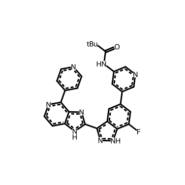 CC(C)(C)C(=O)Nc1cncc(-c2cc(F)c3[nH]nc(-c4nc5c(-c6ccncc6)nccc5[nH]4)c3c2)c1